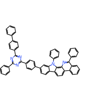 c1ccc(-c2ccc(-c3nc(-c4ccccc4)nc(-c4ccc(-c5ccc6c7ccc8c9ccccc9c(-c9ccccc9)nc8c7n(-c7ccccc7)c6c5)cc4)n3)cc2)cc1